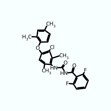 Cc1ccc(Oc2cc(C)c(NC(=O)NC(=O)c3c(F)cccc3F)c(C)c2Cl)c(C)c1